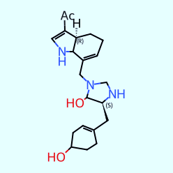 CC(=O)C1=CNC2C(CN3CN[C@@H](CC4=CCC(O)CC4)C3O)=CCC[C@H]12